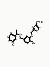 CC(NCc1ccc(Cl)c(OCc2nc(C(=O)O)co2)c1)c1cccc(Cl)c1